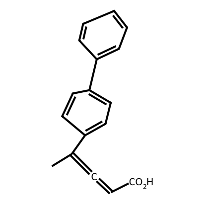 CC(=C=CC(=O)O)c1ccc(-c2ccccc2)cc1